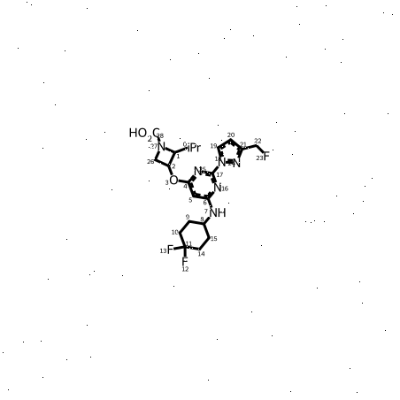 CC(C)C1C(Oc2cc(NC3CCC(F)(F)CC3)nc(-n3ccc(CF)n3)n2)CN1C(=O)O